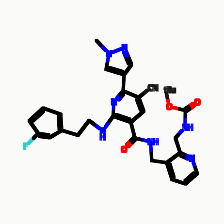 Cn1cc(-c2nc(NCCc3cccc(F)c3)c(C(=O)NCc3cccnc3CNC(=O)OC(C)(C)C)cc2C#N)cn1